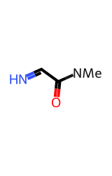 CNC(=O)C=N